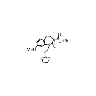 COc1ccc2c(c1)N(CCC1OCCO1)C(=O)[C@H](C(=O)OC(C)(C)C)CC2